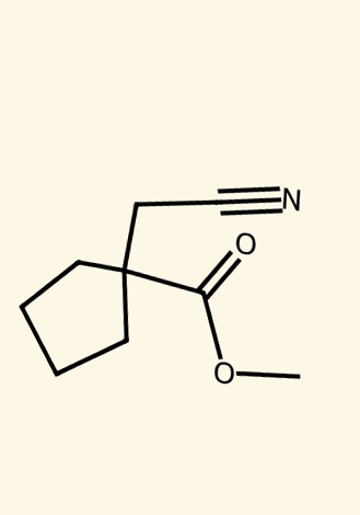 COC(=O)C1(CC#N)CCCC1